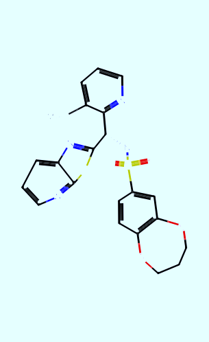 COc1cccnc1[C@H](NS(=O)(=O)c1ccc2c(c1)OCCCO2)c1nc2cccnc2s1